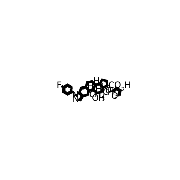 C[C@]12Cc3cnn(-c4ccc(F)cc4)c3C=C1CC[C@@H]1[C@@H]2[C@@H](O)C[C@@]2(C)[C@H]1CC[C@]2(Oc1ccco1)C(=O)O